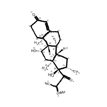 COC(C#N)C(=O)[C@@]1(O)[C@@H](C)C[C@H]2[C@@H]3CCC4=CC(=O)CC[C@]4(C)[C@@]3(F)[C@@H](O)C[C@@]21C